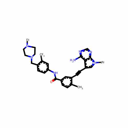 CCN1CCN(Cc2ccc(NC(=O)c3ccc(C)c(C#Cc4cn(C(C)C)c5ncnc(N)c45)c3)cc2C(F)(F)F)CC1